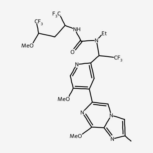 CCN(C(=O)NC(CC(OC)C(F)(F)F)C(F)(F)F)C(c1cc(-c2cn3cc(C)nc3c(OC)n2)c(OC)cn1)C(F)(F)F